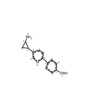 COc1ccc(-c2ccc(C3CC3N)cn2)cc1